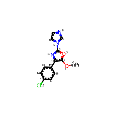 CCCOc1oc(-n2ccnc2)nc1-c1ccc(Cl)cc1